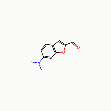 CN(C)c1ccc2cc(C=O)oc2c1